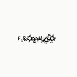 O=C(Cc1ccc(OC(F)(F)F)cc1)NCCCc1ccc(-c2ccccc2F)cc1